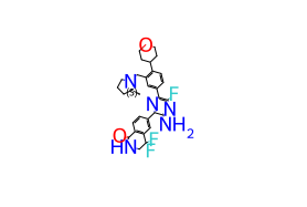 C[C@H]1CCCN1Cc1cc(-c2nc(-c3ccc4c(c3)C(F)(F)CNC4=O)c(N)nc2F)ccc1C1CCOCC1